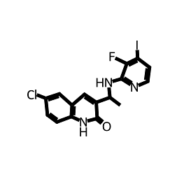 CC(Nc1nccc(I)c1F)c1cc2cc(Cl)ccc2[nH]c1=O